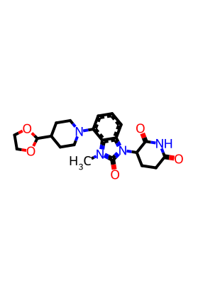 Cn1c(=O)n(C2CCC(=O)NC2=O)c2cccc(N3CCC(C4OCCO4)CC3)c21